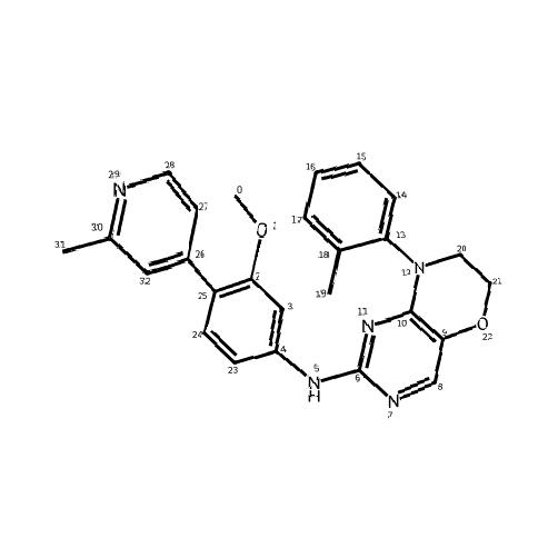 COc1cc(Nc2ncc3c(n2)N(c2ccccc2C)CCO3)ccc1-c1ccnc(C)c1